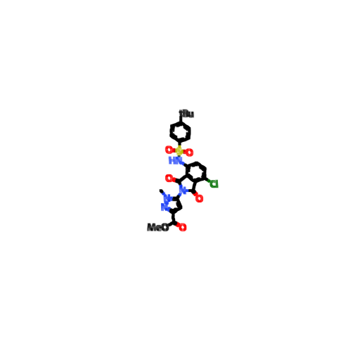 COC(=O)c1cc(N2C(=O)c3c(Cl)ccc(NS(=O)(=O)c4ccc(C(C)(C)C)cc4)c3C2=O)n(C)n1